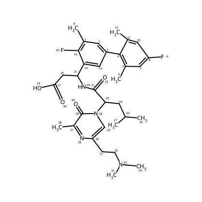 Cc1cc(-c2c(C)cc(F)cc2C)cc(C(CC(=O)O)NC(=O)C(CC(C)C)n2cc(CCN(C)C)nc(C)c2=O)c1F